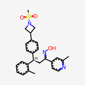 Cc1cc(C(C[C@H](c2ccc(C3CN(S(C)(=O)=O)C3)cc2)c2ccccc2C)=NO)ccn1